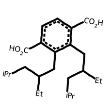 CCC(Cc1c(C(=O)O)ccc(C(=O)O)c1CC(CC)CC(C)C)CC(C)C